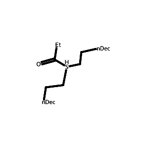 CCCCCCCCCCCC[SH](CCCCCCCCCCCC)C(=O)CC